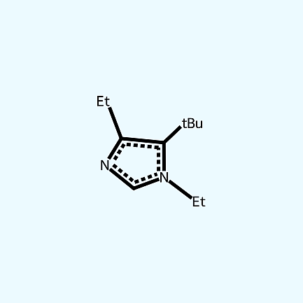 CCc1ncn(CC)c1C(C)(C)C